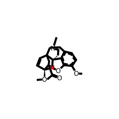 COc1ccc2c3c1OC1[C@]34CCN(C)C(C2)C42C=C[C@]1(OC)[C@@H](C(C)=O)C2